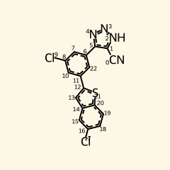 N#Cc1[nH]nnc1-c1cc(Cl)cc(-c2cc3cc(Cl)ccc3s2)c1